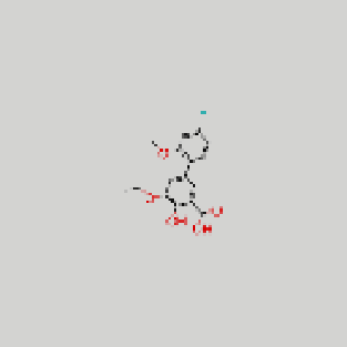 CCOc1cc(-c2ccc(F)cc2OC)cc(C(=O)O)c1O